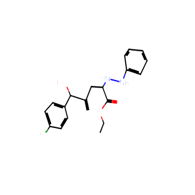 C=C(CC(NNc1ccccc1)C(=O)OCC)C(O)c1ccc(Cl)cc1